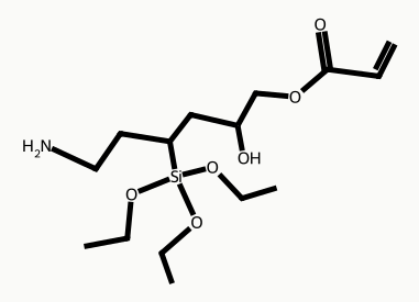 C=CC(=O)OCC(O)CC(CCN)[Si](OCC)(OCC)OCC